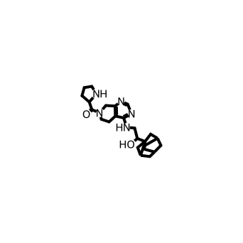 O=C(C1CCCN1)N1CCc2c(ncnc2NCC(O)C23CC4CC(CC(C4)C2)C3)C1